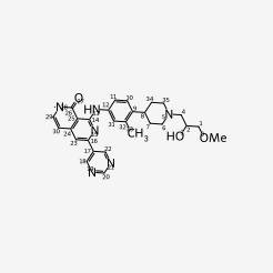 COCC(O)CN1CCC(c2ccc(Nc3nc(-c4cncnc4)cc4c3C(=O)[N]C=C4)cc2C)CC1